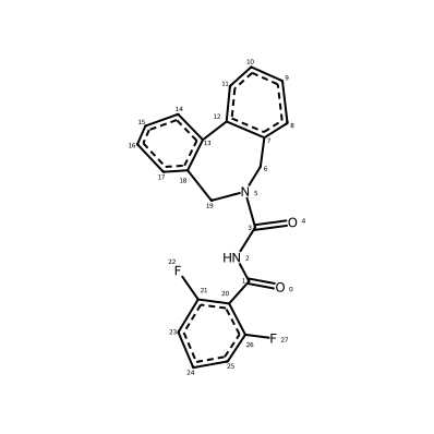 O=C(NC(=O)N1Cc2ccccc2-c2ccccc2C1)c1c(F)cccc1F